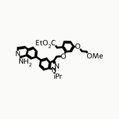 CCOC(=O)Cc1ccc(OCCOC)cc1OCc1nn(C(C)C)c2ccc(-c3ccc4ccnc(N)c4c3)cc12